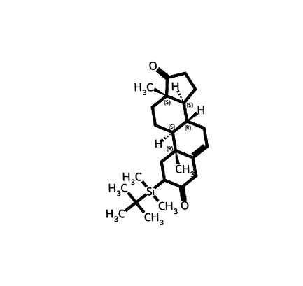 CC(C)(C)[Si](C)(C)C1C[C@@]2(C)C(=CC[C@@H]3[C@@H]2CC[C@]2(C)C(=O)CC[C@@H]32)CC1=O